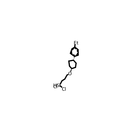 CCc1ccc([C@H]2CC[C@H](OCCC[SiH](Cl)Cl)CC2)cc1